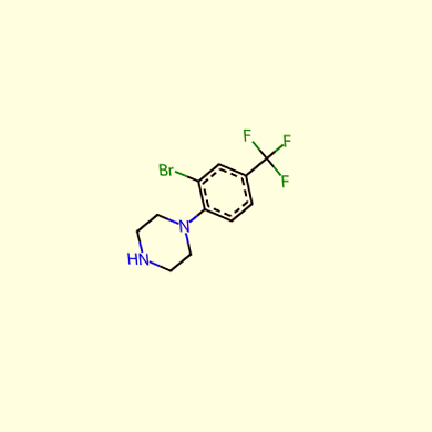 FC(F)(F)c1ccc(N2CCNCC2)c(Br)c1